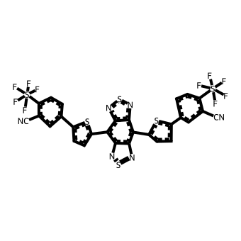 N#Cc1cc(-c2ccc(-c3c4c(c(-c5ccc(-c6ccc(S(F)(F)(F)(F)F)c(C#N)c6)s5)c5nsnc35)N=S=N4)s2)ccc1S(F)(F)(F)(F)F